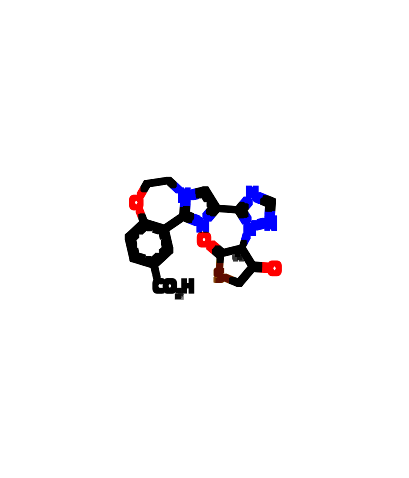 O=C(O)c1ccc2c(c1)-c1nc(-c3ncnn3[C@H]3C(=O)CSC3=O)cn1CCO2